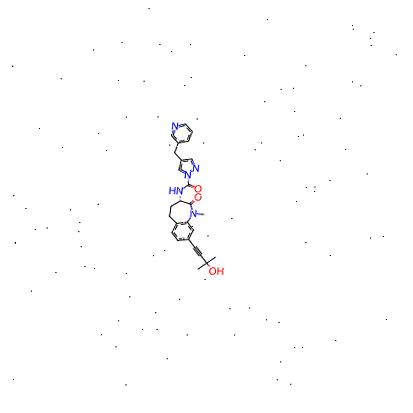 CN1C(=O)[C@@H](NC(=O)n2cc(Cc3cccnc3)cn2)CCc2ccc(C#CC(C)(C)O)cc21